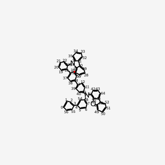 c1ccc(-c2cccc(N(c3ccc(-c4ccc(-c5ccccc5-n5c6ccccc6c6ccccc65)cc4)cc3)c3cccc4c3oc3ccccc34)c2)cc1